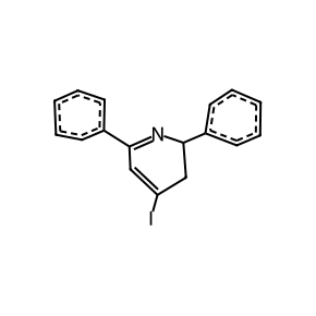 IC1=CC(c2ccccc2)=NC(c2ccccc2)C1